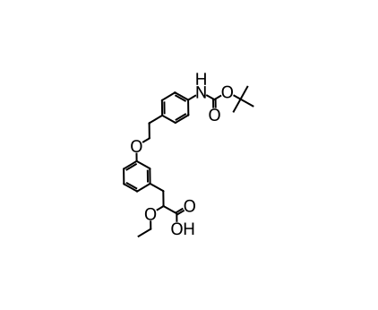 CCOC(Cc1cccc(OCCc2ccc(NC(=O)OC(C)(C)C)cc2)c1)C(=O)O